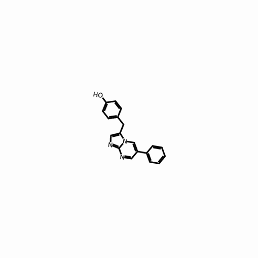 Oc1ccc(Cc2cnc3ncc(-c4ccccc4)cn23)cc1